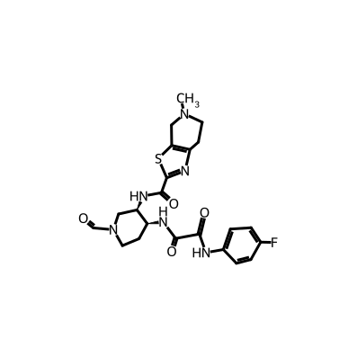 CN1CCc2nc(C(=O)N[C@@H]3CN(C=O)CC[C@@H]3NC(=O)C(=O)Nc3ccc(F)cc3)sc2C1